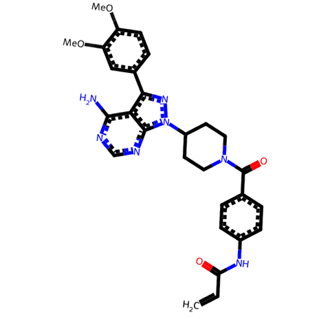 C=CC(=O)Nc1ccc(C(=O)N2CCC(n3nc(-c4ccc(OC)c(OC)c4)c4c(N)ncnc43)CC2)cc1